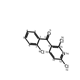 O=C(c1ccccc1Cl)c1ccc(Cl)nc1Cl